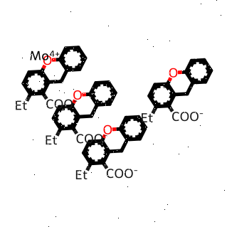 CCc1ccc2c(c1C(=O)[O-])Cc1ccccc1O2.CCc1ccc2c(c1C(=O)[O-])Cc1ccccc1O2.CCc1ccc2c(c1C(=O)[O-])Cc1ccccc1O2.CCc1ccc2c(c1C(=O)[O-])Cc1ccccc1O2.[Mo+4]